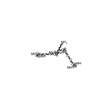 COP(=O)(OC)OCCOCCOCCOP(=O)(OC)OCC(CCCCN)COP(=O)(OC)OCCOCCOCCOP(=O)(OC)OC